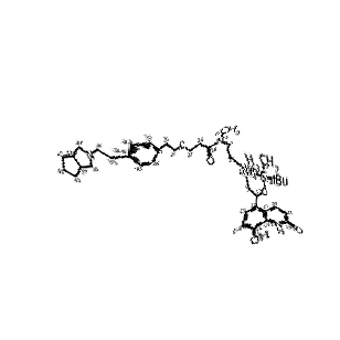 CN(CCNCC(O[Si](C)(C)C(C)(C)C)c1ccc(O)c2[nH]c(=O)ccc12)C(=O)CCOCCc1ccc(CCN2CC3CCCC3C2)cc1